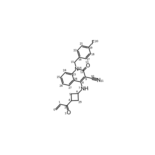 C=CC(=O)C1CC(Nc2c(C#N)c(=O)n(Cc3ccc(F)cc3)c3ccccc23)C1